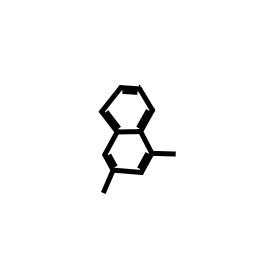 Cc1cc(C)c2c[c]ccc2c1